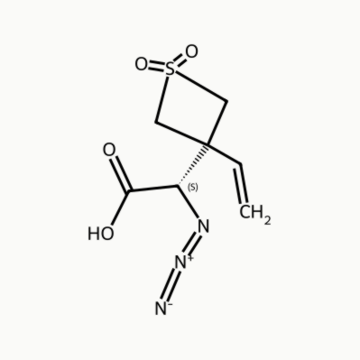 C=CC1([C@H](N=[N+]=[N-])C(=O)O)CS(=O)(=O)C1